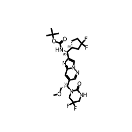 COC[C@H](c1cnn2cc([C@H](NC(=O)OC(C)(C)C)[C@@H]3CCC(F)(F)C3)nc2c1)N1CC(F)(F)CNC1=O